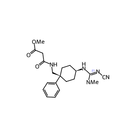 CN/C(=N\C#N)N[C@H]1CC[C@](CNC(=O)CC(=O)OC)(c2ccccc2)CC1